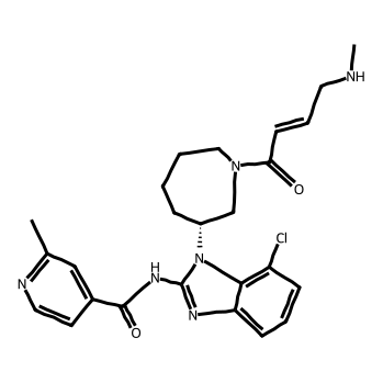 CNCC=CC(=O)N1CCCC[C@@H](n2c(NC(=O)c3ccnc(C)c3)nc3cccc(Cl)c32)C1